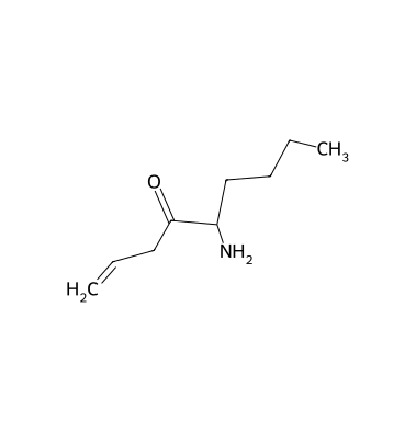 C=CCC(=O)C(N)CCCC